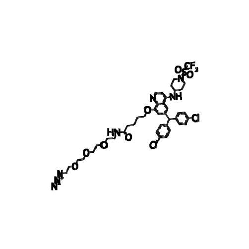 [N-]=[N+]=NCCOCCOCCOCCNC(=O)CCCCOc1cc(C(c2ccc(Cl)cc2)c2ccc(Cl)cc2)cc2c(NC3CCN(S(=O)(=O)C(F)(F)F)CC3)ccnc12